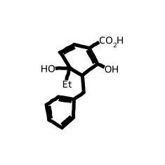 CCC1(O)C=CC(C(=O)O)=C(O)C1Cc1ccccc1